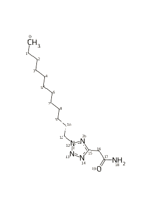 CCCCCCCCCCCCn1nnc(CC(N)=O)n1